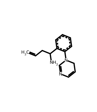 C=CCC(N)c1ccccc1N1C=NC=CC1